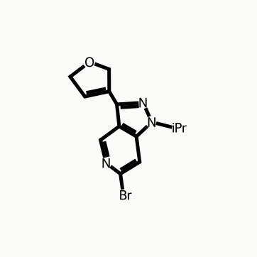 CC(C)n1nc(C2=CCOC2)c2cnc(Br)cc21